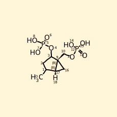 CC1CC(OP(=O)(O)O)[C@]2(COP(=O)(O)O)C[C@H]12